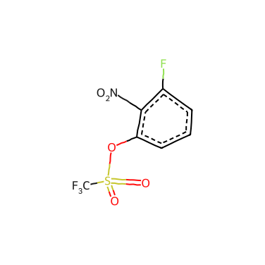 O=[N+]([O-])c1c(F)cccc1OS(=O)(=O)C(F)(F)F